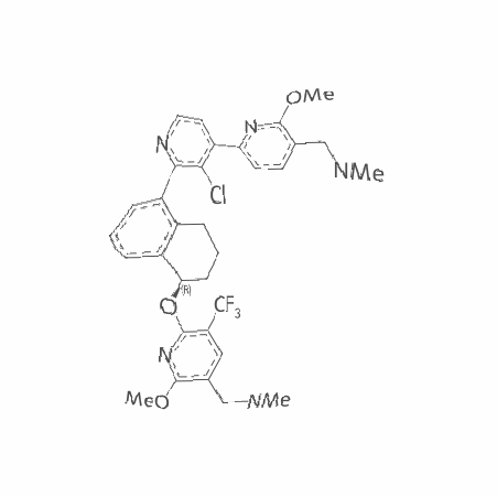 CNCc1ccc(-c2ccnc(-c3cccc4c3CCC[C@H]4Oc3nc(OC)c(CNC)cc3C(F)(F)F)c2Cl)nc1OC